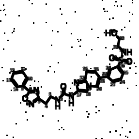 O=C(NCCc1noc(-c2ccccc2)n1)Nc1cn2cc(-c3cccc(S(=O)(=O)NCCO)c3)ccc2n1